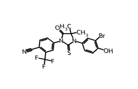 CC1(C)C(=O)N(c2ccc(C#N)c(C(F)(F)F)c2)C(=S)N1c1ccc(O)c(Br)c1